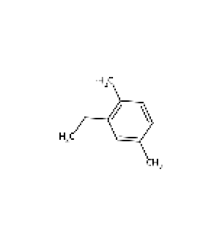 [CH2]c1ccc(C)cc1CC